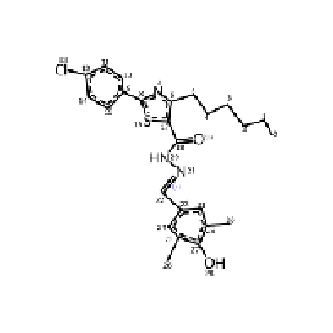 CCCCCCc1nc(-c2ccc(Cl)cc2)sc1C(=O)N/N=C/c1cc(C)c(O)c(C)c1